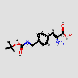 CC(C)(C)OC(=O)NCc1ccc(C=C(N)C(=O)O)cc1